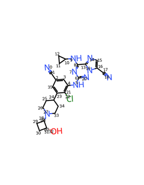 N#Cc1cc(Nc2nc(NC3CC3)c3ncc(C#N)n3n2)c(Cl)c(C2CCN([C@@H]3CC[C@H]3O)CC2)c1